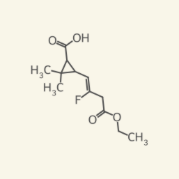 CCOC(=O)CC(F)=CC1C(C(=O)O)C1(C)C